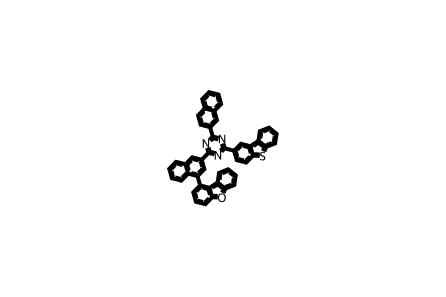 c1ccc2cc(-c3nc(-c4cc(-c5cccc6oc7ccccc7c56)c5ccccc5c4)nc(-c4ccc5sc6ccccc6c5c4)n3)ccc2c1